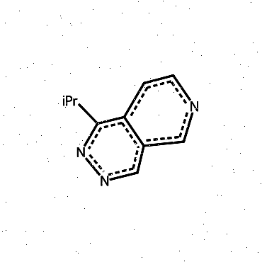 CC(C)c1nncc2cnccc12